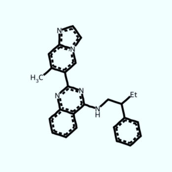 CCC(CNc1nc(-c2cn3ccnc3cc2C)nc2ccccc12)c1ccccc1